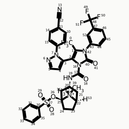 Cc1c(-c2ccnn2-c2ccc(C#N)cc2)n(C(=O)N[C@@H]2C[C@H]3CC[C@](OS(=O)(=O)c4ccccc4)(C2)[N+]3(C)C)c(=O)n1-c1cccc(C(F)(F)F)c1